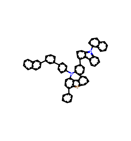 c1ccc(-c2ccc(N(c3ccc(-c4cccc(-c5ccc6ccccc6c5)c4)cc3)c3cccc(-c4cccc5c4c4ccccc4n5-c4cccc5ccccc45)c3)c3c2sc2ccccc23)cc1